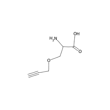 C#CCOCC(N)C(=O)O